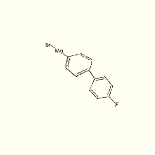 Fc1ccc(-c2cc[c]([Mg][Br])cc2)cc1